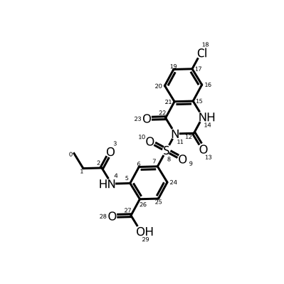 CCC(=O)Nc1cc(S(=O)(=O)n2c(=O)[nH]c3cc(Cl)ccc3c2=O)ccc1C(=O)O